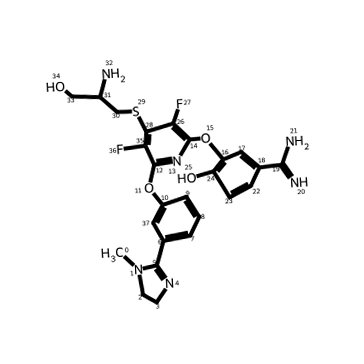 CN1CCN=C1c1cccc(Oc2nc(Oc3cc(C(=N)N)ccc3O)c(F)c(SCC(N)CO)c2F)c1